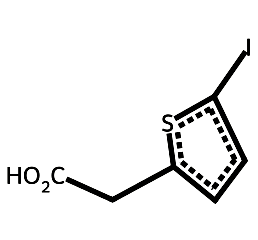 O=C(O)Cc1ccc(I)s1